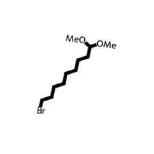 COC(CCCCCCCCBr)OC